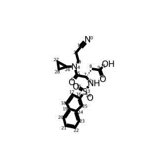 N#CCCN(C(=O)[C@H](CC(=O)O)NS(=O)(=O)c1ccc2ccccc2c1)C1CC1